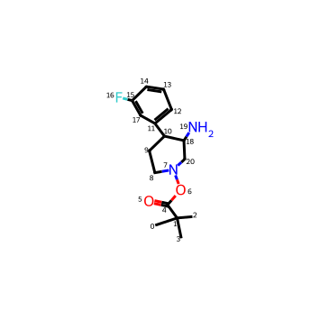 CC(C)(C)C(=O)ON1CCC(c2cccc(F)c2)C(N)C1